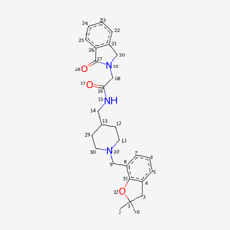 CC1(C)Cc2cccc(CN3CCC(CNC(=O)CN4Cc5ccccc5C4=O)CC3)c2O1